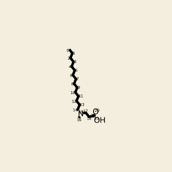 CCCCCCCCCCCCCCCN(C)CCC(=O)O